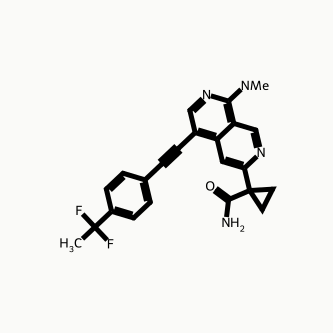 CNc1ncc(C#Cc2ccc(C(C)(F)F)cc2)c2cc(C3(C(N)=O)CC3)ncc12